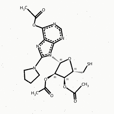 CC(=O)Oc1ncnc2c1nc(N1CCCC1)n2[C@@H]1O[C@H](CS)[C@@H](OC(C)=O)[C@H]1OC(C)=O